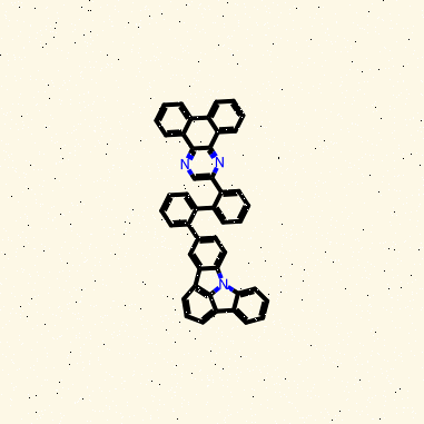 c1ccc(-c2ccccc2-c2cnc3c4ccccc4c4ccccc4c3n2)c(-c2ccc3c(c2)c2cccc4c5ccccc5n3c42)c1